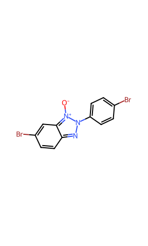 [O-][n+]1c2cc(Br)ccc2nn1-c1ccc(Br)cc1